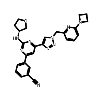 N#Cc1cccc(-c2cc(-c3cn(Cc4cccc(N5CCC5)n4)nn3)nc(N[C@H]3CCOC3)n2)c1